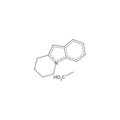 CC(=O)O.c1ccc2c(c1)cc1n2CCCC1